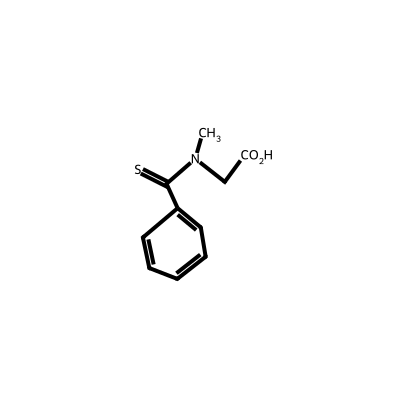 CN(CC(=O)O)C(=S)c1ccccc1